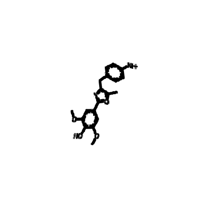 COc1cc(-c2nc(Cc3ccc([NH])cc3)c(C)o2)cc(OC)c1O